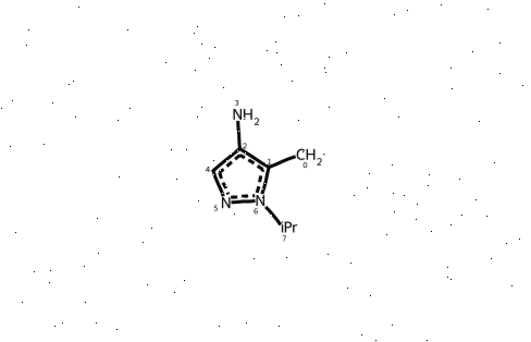 [CH2]c1c(N)cnn1C(C)C